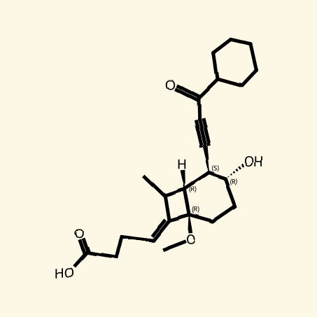 CO[C@]12CC[C@@H](O)[C@H](C#CC(=O)C3CCCCC3)[C@H]1C(C)C2=CCCC(=O)O